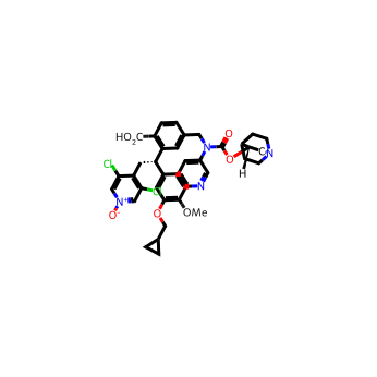 COc1ccc([C@H](Cc2c(Cl)c[n+]([O-])cc2Cl)c2cc(CN(C(=O)O[C@H]3CN4CCC3CC4)c3cccnc3)ccc2C(=O)O)cc1OCC1CC1